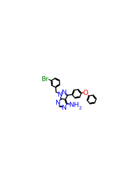 Nc1ncnc2c1c(-c1ccc(Oc3ccccc3)cc1)nn2Cc1cccc(Br)c1